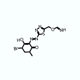 CC1CC(Br)C(O)=C(N=Nc2nnc(COC=N)s2)C1=O